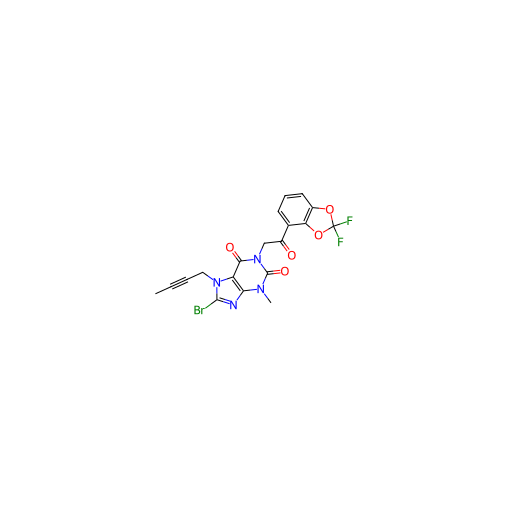 CC#CCn1c(Br)nc2c1c(=O)n(CC(=O)c1cccc3c1OC(F)(F)O3)c(=O)n2C